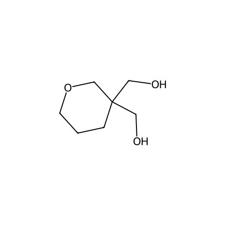 OCC1(CO)CCCOC1